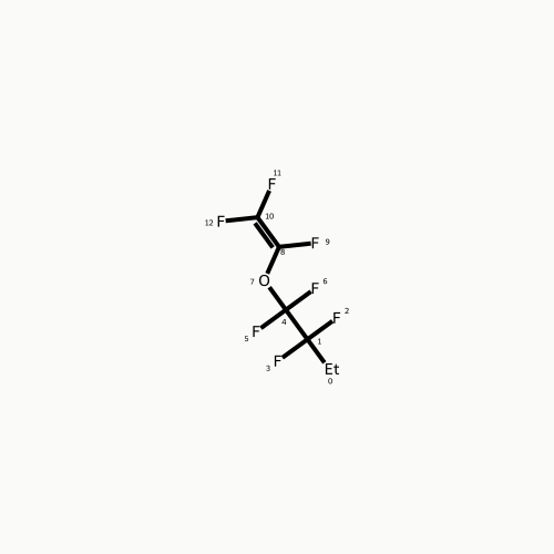 CCC(F)(F)C(F)(F)OC(F)=C(F)F